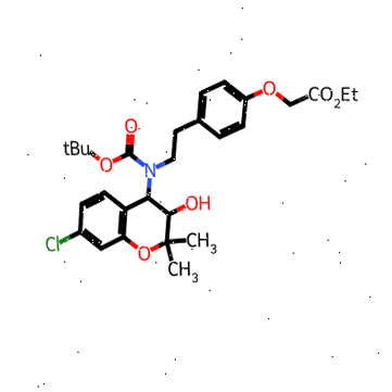 CCOC(=O)COc1ccc(CCN(C(=O)OC(C)(C)C)C2c3ccc(Cl)cc3OC(C)(C)C2O)cc1